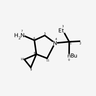 CCCCC(C)(CC)N1CC(N)C2(CC2)C1